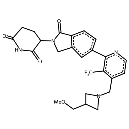 COCC1CN(Cc2ccnc(-c3ccc4c(c3)CN(C3CCC(=O)NC3=O)C4=O)c2C(F)(F)F)C1